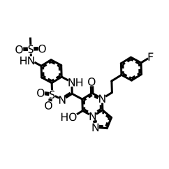 CS(=O)(=O)Nc1ccc2c(c1)S(=O)(=O)N=C(c1c(O)n3nccc3n(CCc3ccc(F)cc3)c1=O)N2